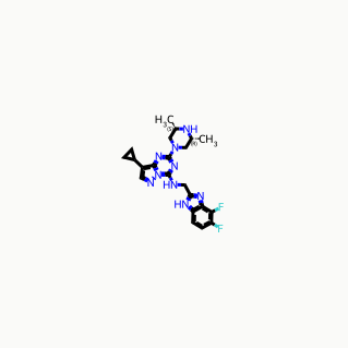 C[C@@H]1CN(c2nc(NCc3nc4c(F)c(F)ccc4[nH]3)n3ncc(C4CC4)c3n2)C[C@H](C)N1